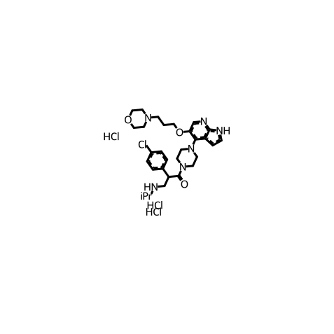 CC(C)NCC(C(=O)N1CCN(c2c(OCCCN3CCOCC3)cnc3[nH]ccc23)CC1)c1ccc(Cl)cc1.Cl.Cl.Cl